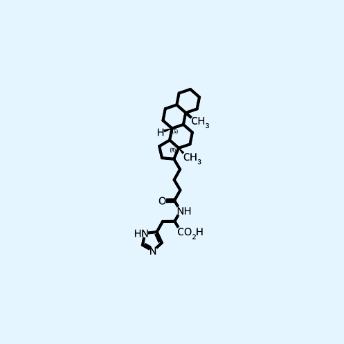 CC12CCCCC1CC[C@@H]1C2CC[C@]2(C)C(CCCC(=O)NC(Cc3cnc[nH]3)C(=O)O)CCC12